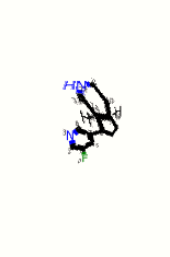 Fc1cncc(C2=CC[C@@H]3CCNC[C@H]23)c1